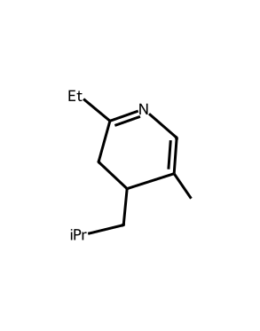 CCC1=NC=C(C)C(CC(C)C)C1